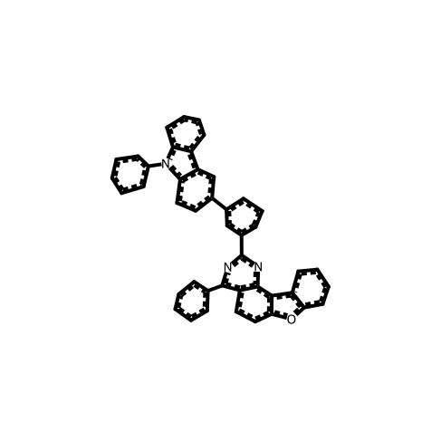 c1ccc(-c2nc(-c3cccc(-c4ccc5c(c4)c4ccccc4n5-c4ccccc4)c3)nc3c2ccc2oc4ccccc4c23)cc1